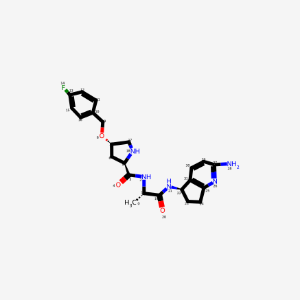 C[C@H](NC(=O)[C@H]1C[C@H](OCc2ccc(F)cc2)CN1)C(=O)N[C@@H]1CCc2nc(N)ccc21